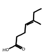 CC/C(C)=C/CCC(=O)O